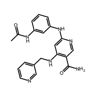 CC(=O)Nc1cccc(Nc2cc(NCc3cccnc3)c(C(N)=O)cn2)c1